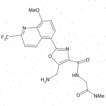 CNC(=O)CNC(=O)c1nc(-c2ccc(OC)c3nc(C(F)(F)F)ccc23)oc1CN